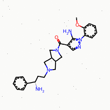 COc1ccccc1-n1ncc(C(=O)N2CC3CN(CC[C@H](N)c4ccccc4)CC3C2)c1N